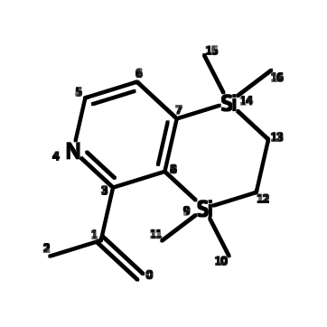 C=C(C)c1nccc2c1[Si](C)(C)CC[Si]2(C)C